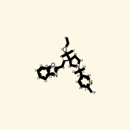 CCOC(C)(C)[C@]1(CCc2nc3ccccc3o2)CCN(C(C)(C)c2ccc(C)nc2)C1